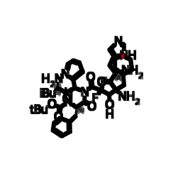 CC[C@H](C)[C@H](N)C(=O)C(c1ccccn1)N(C(=O)[C@H](Cc1ccccc1)NC(=O)OC(C)(C)C)C(=O)C(F)(F)C(O)C(N)(CC1CCCCC1)C(=O)[C@H](N)Cc1cnc[nH]1